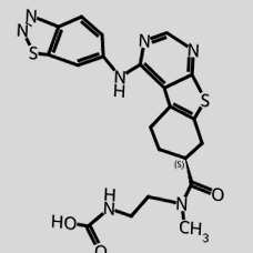 CN(CCNC(=O)O)C(=O)[C@H]1CCc2c(sc3ncnc(Nc4ccc5nnsc5c4)c23)C1